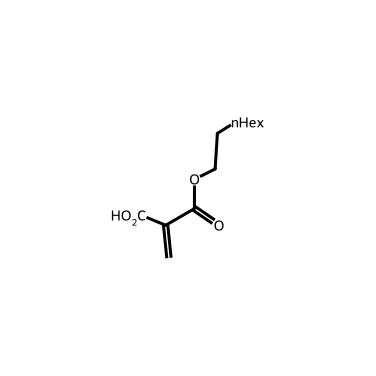 C=C(C(=O)O)C(=O)OCCCCCCCC